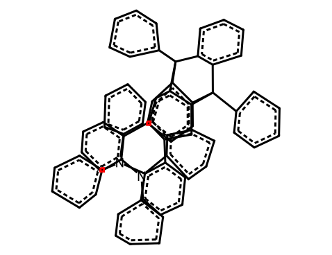 c1ccc(N(c2ccccc2)c2ccccc2-c2ccc3c(c2)C2(c4ccccc4)c4ccccc4C3(c3ccccc3)c3cc(-c4ccccc4N(c4ccccc4)c4ccccc4)ccc32)cc1